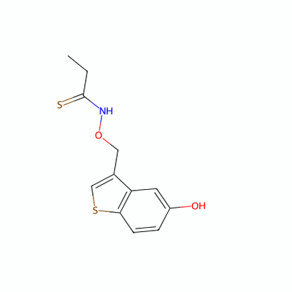 CCC(=S)NOCc1csc2ccc(O)cc12